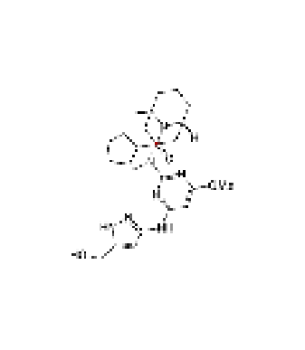 COc1cc(Nc2cc(CO)[nH]n2)nc(N(C)[C@H]2C[C@H]3CCC[C@@H](C2)N3C(=O)C2CCCC2)n1